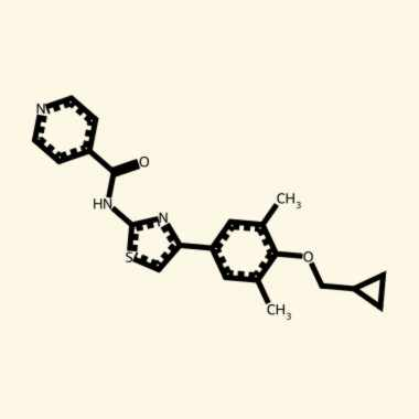 Cc1cc(-c2csc(NC(=O)c3ccncc3)n2)cc(C)c1OCC1CC1